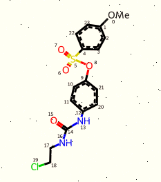 COc1ccc(S(=O)(=O)Oc2ccc(NC(=O)NCCCl)cc2)cc1